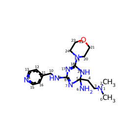 CN(C)CCC1(N)N=C(NCc2ccncc2)N=C(N2CCOCC2)N1